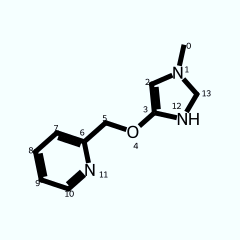 CN1C=C(OCc2ccccn2)NC1